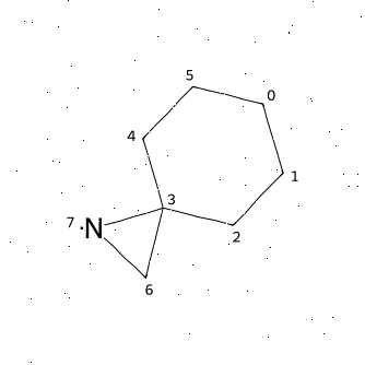 C1CCC2(CC1)C[N]2